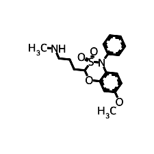 CNCCCC1Oc2cc(OC)ccc2N(c2ccccc2)S1(=O)=O